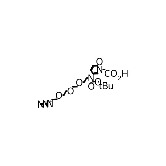 CC(C)(C)OC(=O)N(CCOCCOCCOCCN=[N+]=[N-])c1ccc(=O)n(CC(=O)O)c1